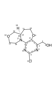 OCc1nc(Cl)nc2c1OCC[C@@H]1COCCN21